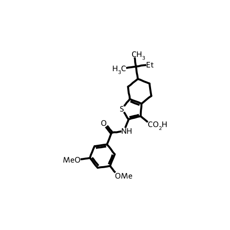 CCC(C)(C)C1CCc2c(sc(NC(=O)c3cc(OC)cc(OC)c3)c2C(=O)O)C1